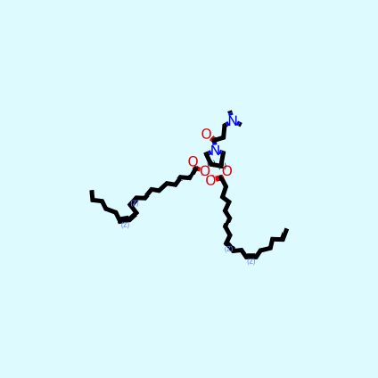 CCCCC/C=C\C/C=C\CCCCCCCC(=O)O[C@@H]1CN(C(=O)CCN(C)C)C[C@H]1OC(=O)CCCCCCC/C=C\C/C=C\CCCCC